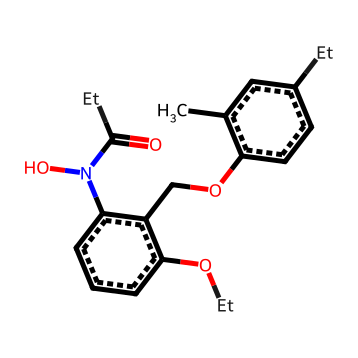 CCOc1cccc(N(O)C(=O)CC)c1COc1ccc(CC)cc1C